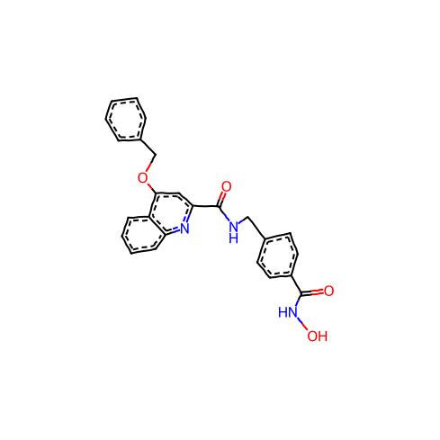 O=C(NO)c1ccc(CNC(=O)c2cc(OCc3ccccc3)c3ccccc3n2)cc1